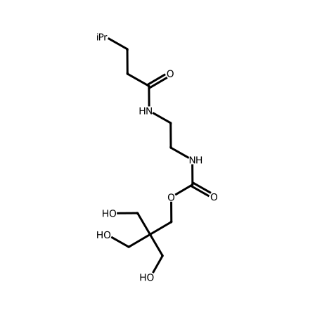 CC(C)CCC(=O)NCCNC(=O)OCC(CO)(CO)CO